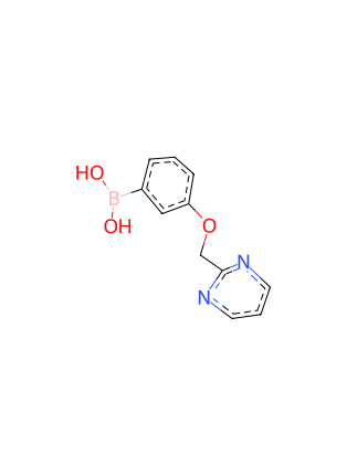 OB(O)c1cccc(OCc2ncccn2)c1